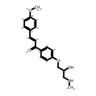 CNCC(O)COc1ccc(C(=O)C=Cc2ccc(OC)cc2)cc1